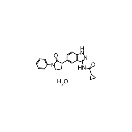 O.O=C(Nc1n[nH]c2ccc(C3CCN(c4ccccc4)C3=O)cc12)C1CC1